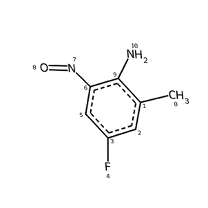 Cc1cc(F)cc(N=O)c1N